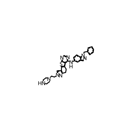 c1ccc(Cn2ncc3cc(Nc4ncnc5sc6c(c45)CCc4nn(CCN5CCNCC5)cc4-6)ccc32)cc1